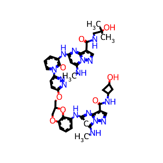 CNc1cc(Nc2cccn(-c3ccc(OCC4COc5cccc(Nc6cc(NC)n7ncc(C(=O)NC8CC(O)C8)c7n6)c5O4)nn3)c2=O)nc2c(C(=O)NCC(C)(C)O)cnn12